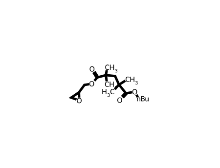 CCCCOC(=O)C(C)(C)CC(C)(C)C(=O)OCC1CO1